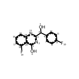 Oc1nc(C(O)c2ccc(F)cc2)nc2cccc(F)c12